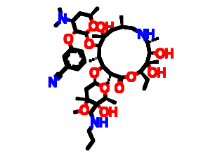 CCCNC[C@]1(O)[C@H](C)O[C@@H](O[C@H]2[C@H](C)[C@@H](O[C@@H]3O[C@H](C)C[C@H](N(C)C)[C@H]3Oc3cccc(C#N)c3)[C@](C)(O)C[C@@H](C)CN[C@H](C)[C@@H](O)[C@](C)(O)[C@@H](CC)OC(=O)[C@@H]2C)C[C@@]1(C)OC